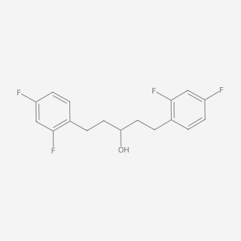 OC(CCc1ccc(F)cc1F)CCc1ccc(F)cc1F